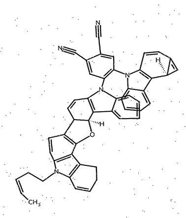 C/C=C\CCn1c2c(c3c4c(ccc31)C1C=Cc3c(c5ccccc5n3-c3cc(C#N)c(C#N)cc3-n3c5c(c6ccccc63)[C@@H]3C=C3C=C5)[C@H]1O4)CCC=C2